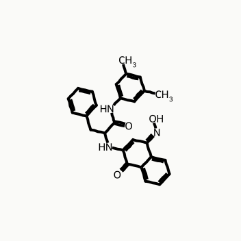 Cc1cc(C)cc(NC(=O)C(Cc2ccccc2)NC2=CC(=NO)c3ccccc3C2=O)c1